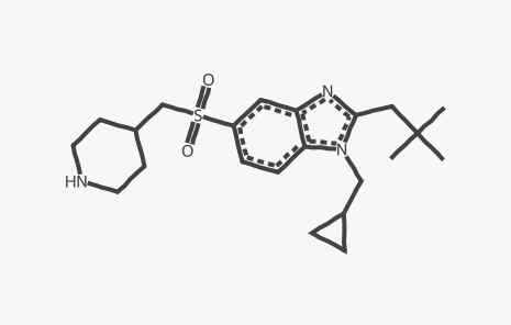 CC(C)(C)Cc1nc2cc(S(=O)(=O)CC3CCNCC3)ccc2n1CC1CC1